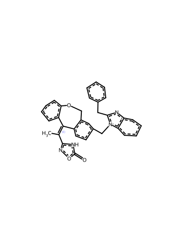 C/C(=C1/c2ccc(Cn3c(Cc4ccccc4)nc4ccccc43)cc2COc2ccccc21)c1noc(=O)[nH]1